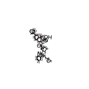 COCCCn1c([C@@H]2CCCN(C(=O)C[C@@H](Cc3ccc(-c4ccoc4)cc3)N(C(=O)O)C(C)(C)C)C2)nc2ccccc21